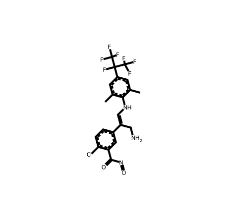 Cc1cc(C(F)(C(F)(F)F)C(F)(F)F)cc(C)c1N/C=C(\CN)c1ccc(Cl)c(C(=O)N=O)c1